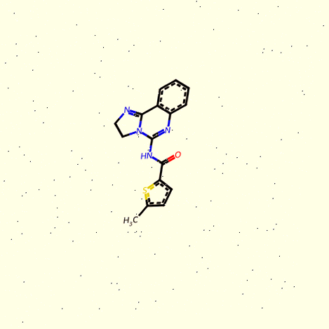 Cc1ccc(C(=O)NC2=Nc3ccccc3C3=NCCN23)s1